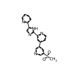 CS(=O)(=O)c1cncc(-c2ccnc(-c3ncc(-c4ccccn4)[nH]3)c2)c1